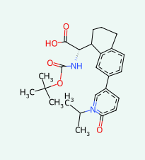 CC(C)n1cc(-c2ccc3c(c2)C([C@H](NC(=O)OC(C)(C)C)C(=O)O)CCC3)ccc1=O